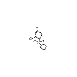 O=S(=O)(Oc1ccccc1)c1ccc(Cl)cc1Cl